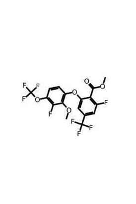 COC(=O)c1c(F)cc(C(F)(F)F)cc1Oc1ccc(OC(F)(F)F)c(F)c1OC